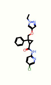 CCn1cc(OCC2(c3ccccc3)CC2C(=O)Nc2ccc(Cl)cn2)cn1